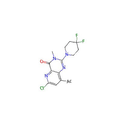 CC(=O)c1cc(Cl)nc2c(=O)n(C)c(N3CCC(F)(F)CC3)nc12